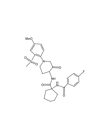 COc1ccc(N2CCC(NC(=O)C3(NC(=O)c4ccc(F)cc4)CCCCC3)C(=O)C2)c(S(C)(=O)=O)c1